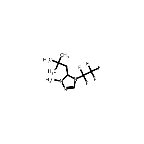 CN1N=CN(C(F)(F)C(F)(F)F)C1CC(C)(C)C